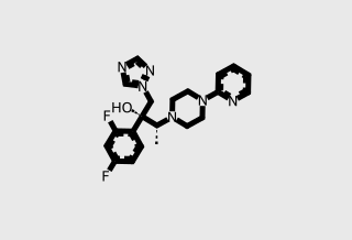 C[C@@H](N1CCN(c2ccccn2)CC1)[C@](O)(Cn1cncn1)c1ccc(F)cc1F